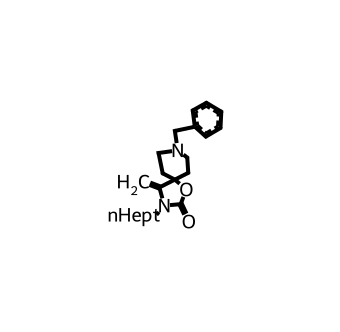 C=C1N(CCCCCCC)C(=O)OC12CCN(Cc1ccccc1)CC2